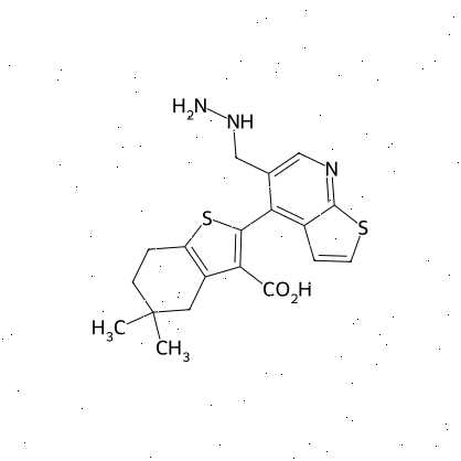 CC1(C)CCc2sc(-c3c(CNN)cnc4sccc34)c(C(=O)O)c2C1